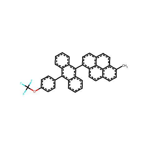 Cc1ccc2ccc3c(-c4c5ccccc5c(-c5ccc(OC(F)(F)F)cc5)c5ccccc45)ccc4ccc1c2c43